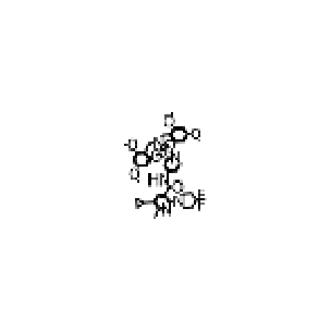 COc1ccc(CN(Cc2ccc(OC)cc2OC)S(=O)(=O)c2cc(NC(=O)c3cc(C4CC4)c(C)nc3N3CCC(F)(F)CC3)ccn2)c(OC)c1